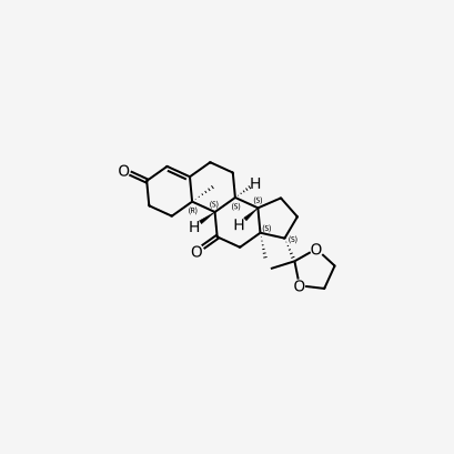 CC1([C@H]2CC[C@H]3[C@@H]4CCC5=CC(=O)CC[C@]5(C)[C@H]4C(=O)C[C@]23C)OCCO1